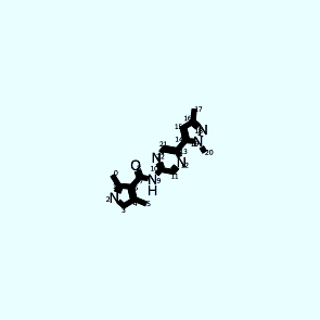 CC1=NCC(C)=C1C(=O)Nc1cnc(-c2cc(C)nn2C)cn1